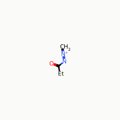 C=[N+]=NC(=O)CC